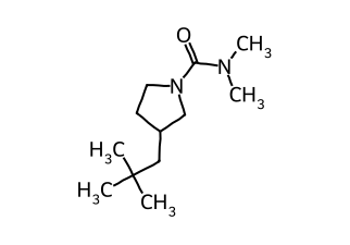 CN(C)C(=O)N1CCC(CC(C)(C)C)C1